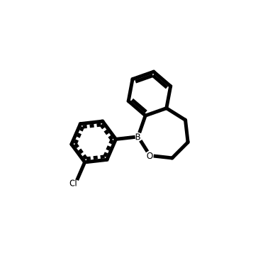 Clc1cccc(B2OCCCC3C=C=CC=C23)c1